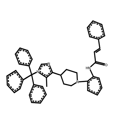 Cc1c(C2CCN(c3ccccc3NC(=O)C=Cc3ccccc3)CC2)ncn1C(c1ccccc1)(c1ccccc1)c1ccccc1